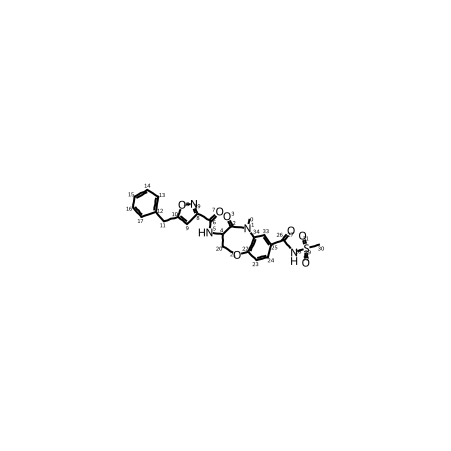 CN1C(=O)C(NC(=O)c2cc(Cc3ccccc3)on2)COc2ccc(C(=O)NS(C)(=O)=O)cc21